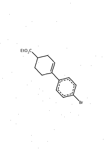 CCOC(=O)C1CC=C(c2ccc(Br)cc2)CC1